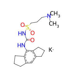 CN(C)CCCS(=O)(=O)NC(=O)Nc1c2c(cc3c1CCC3)CCC2.[K]